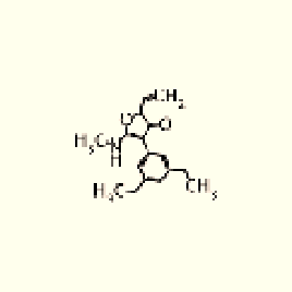 C=CC1OC(NC)=C(c2cc(CC)cc(CC)c2)C1=O